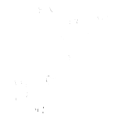 Nc1nc(O)cc(OCCOCP(=O)(O)O)n1